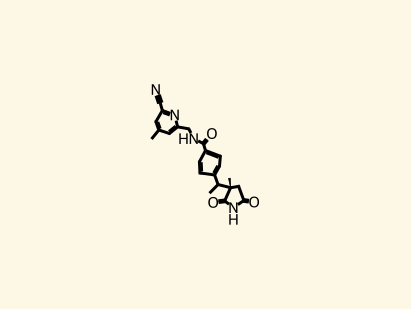 Cc1cc(C#N)nc(CNC(=O)c2ccc(C(C)[C@]3(C)CC(=O)NC3=O)cc2)c1